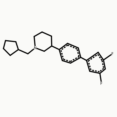 Fc1cc(F)cc(-c2ccc(C3CCCN(CC4CCCC4)C3)cc2)c1